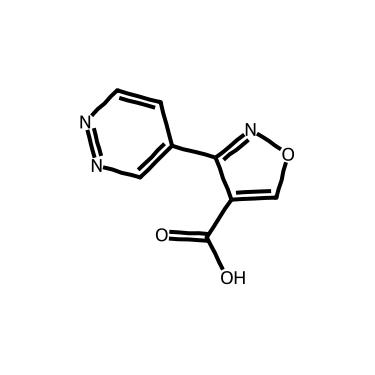 O=C(O)c1conc1-c1ccnnc1